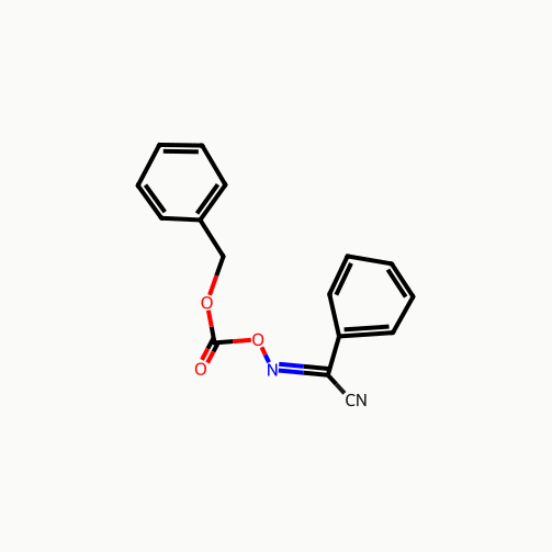 N#CC(=NOC(=O)OCc1ccccc1)c1ccccc1